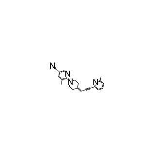 Cc1cccc(C#CC=C2CCN(c3ncc(C#N)cc3C)CC2)n1